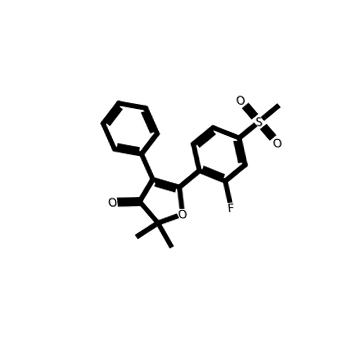 CC1(C)OC(c2ccc(S(C)(=O)=O)cc2F)=C(c2ccccc2)C1=O